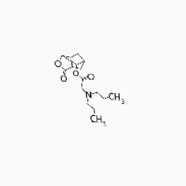 CCCN(CCC)CC(=O)OC1C2CC3C(=O)OC1C3C2